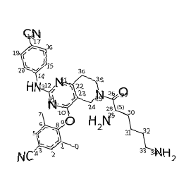 Cc1cc(C#N)cc(C)c1Oc1nc(Nc2ccc(C#N)cc2)nc2c1CN(C(=O)[C@@H](N)CCCCN)CC2